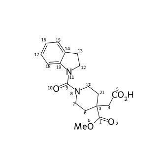 COC(=O)C1(CC(=O)O)CCN(C(=O)N2CCc3ccccc32)CC1